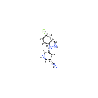 N#Cc1cncc(-n2ncc3cc(F)ccc32)c1